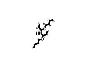 CCCCOC(CC)NC(CC)OCCCC